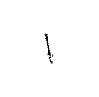 CCC=CCC=CCC=CCC=CCC=CCCCC(=O)NCCSCCN